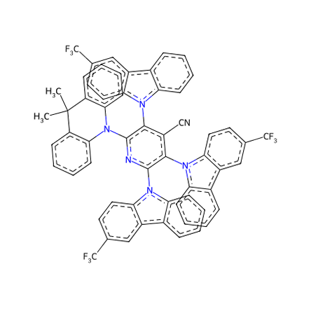 CC1(C)c2ccccc2N(c2nc(-n3c4ccccc4c4cc(C(F)(F)F)ccc43)c(-n3c4ccccc4c4cc(C(F)(F)F)ccc43)c(C#N)c2-n2c3ccccc3c3cc(C(F)(F)F)ccc32)c2ccccc21